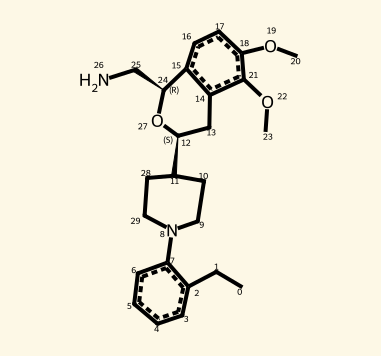 CCc1ccccc1N1CCC([C@@H]2Cc3c(ccc(OC)c3OC)[C@H](CN)O2)CC1